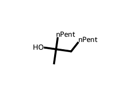 CCCCCCC(C)(O)CCCCC